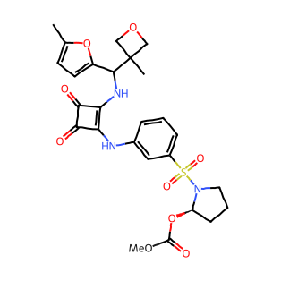 COC(=O)O[C@@H]1CCCN1S(=O)(=O)c1cccc(Nc2c(NC(c3ccc(C)o3)C3(C)COC3)c(=O)c2=O)c1